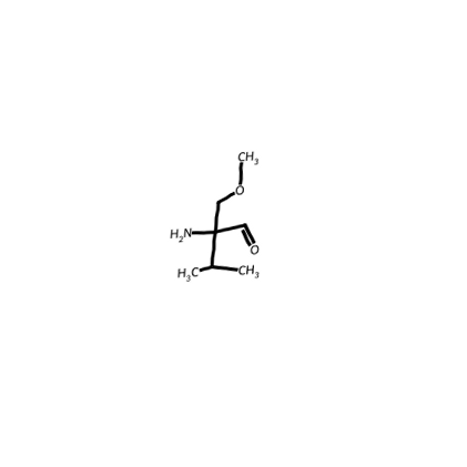 COCC(N)(C=O)C(C)C